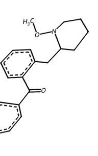 CON1CCCCC1Cc1ccccc1C(=O)c1ccccc1